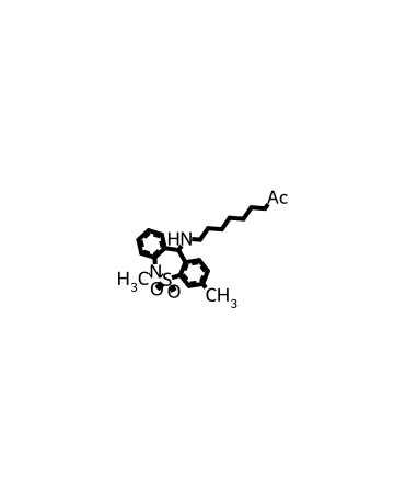 CC(=O)CCCCCCCNC1c2ccccc2N(C)S(=O)(=O)c2cc(C)ccc21